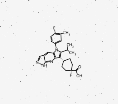 Cc1cc(-n2c(C(C)C)c([C@H]3CC[C@](F)(C(=O)O)CC3)c3nc4[nH]ncc4cc32)ccc1F